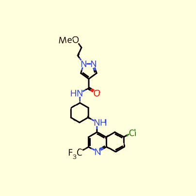 COCCn1cc(C(=O)N[C@@H]2CCCC(Nc3cc(C(F)(F)F)nc4ccc(Cl)cc34)C2)cn1